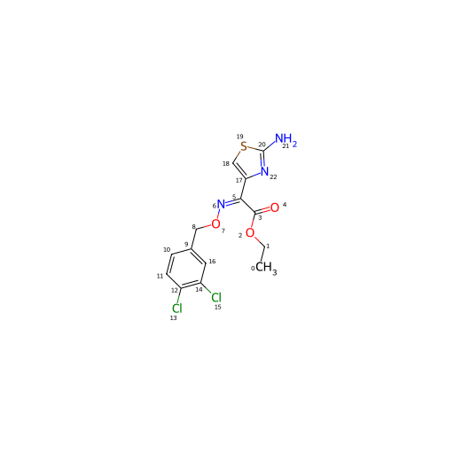 CCOC(=O)C(=NOCc1ccc(Cl)c(Cl)c1)c1csc(N)n1